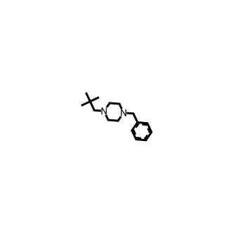 CC(C)(C)CN1CCN(Cc2ccccc2)CC1